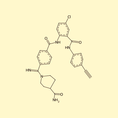 C#Cc1ccc(NC(=O)c2cc(Cl)ccc2NC(=O)c2ccc(C(=N)N3CCC(C(N)=O)CC3)cc2)cc1